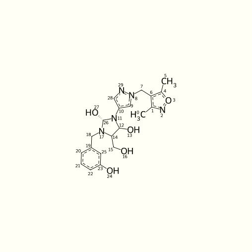 Cc1noc(C)c1Cn1cc(N2C(O)C(CO)N(Cc3cccc(O)c3)[C@@H]2O)cn1